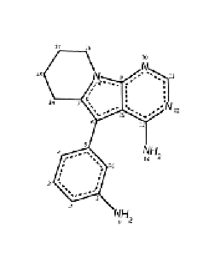 Nc1cccc(-c2c3n(c4ncnc(N)c24)CCCC3)c1